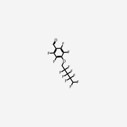 O=[C]c1c(F)c(F)c(OCC(F)(F)C(F)(F)C(F)(F)C(F)F)c(F)c1F